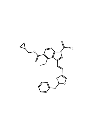 COc1c(C(=O)OCC2CC2)ccc2c1c(C=CC1=COC(Cc3ccccc3)O1)nn2C(N)=O